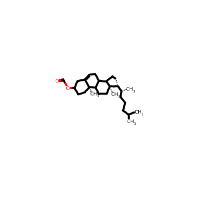 CC(C)CCC[C@@H](C)[C@H]1CCC2C3CC=C4CC(O[C]=O)CC[C@]4(C)C3CC[C@@]21C